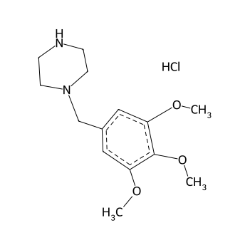 COc1cc(CN2CCNCC2)cc(OC)c1OC.Cl